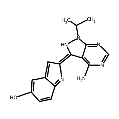 CC(C)N1N/C(=C2\C=c3cc(O)ccc3=N2)c2c(N)ncnc21